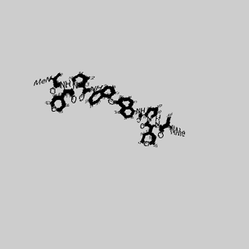 CN[C@@H](C)C(=O)N[C@H](C(=O)N1CCC[C@H]1C(=O)N[C@@H]1CCCc2c(Oc3cccc4c3CCC[C@H]4NC(=O)[C@@H]3CCCN3C(=O)[C@@H](NC(=O)[C@H](C)NC)C3CCOCC3)cccc21)C1CCOCC1